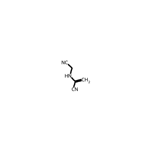 C=C(C#N)NCC#N